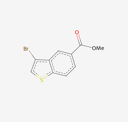 COC(=O)c1ccc2scc(Br)c2c1